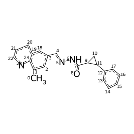 Cc1cc(/C=N/NC(=O)C2CC2c2ccccc2)cc2cccnc12